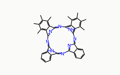 Cc1c(C)c(C)c2c(c1C)-c1nc-2nc2[nH]c(nc3nc(nc4[nH]c(n1)c1ccccc41)-c1ccccc1-3)c1c(C)c(C)c(C)c(C)c21